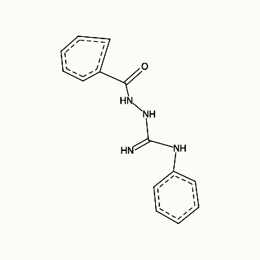 N=C(NNC(=O)c1ccccc1)Nc1ccccc1